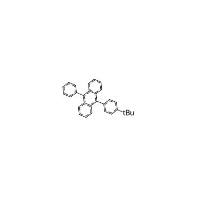 CC(C)(C)c1ccc(-c2c3ccccc3c(-c3ccccc3)c3ccccc23)cc1